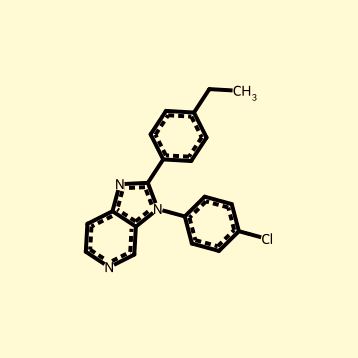 CCc1ccc(-c2nc3ccncc3n2-c2ccc(Cl)cc2)cc1